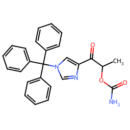 CC(OC(N)=O)C(=O)c1cn(C(c2ccccc2)(c2ccccc2)c2ccccc2)cn1